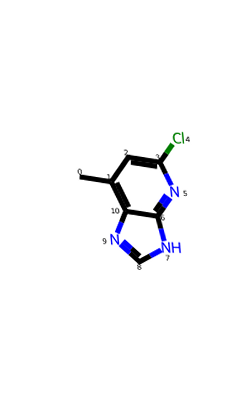 Cc1cc(Cl)nc2[nH]cnc12